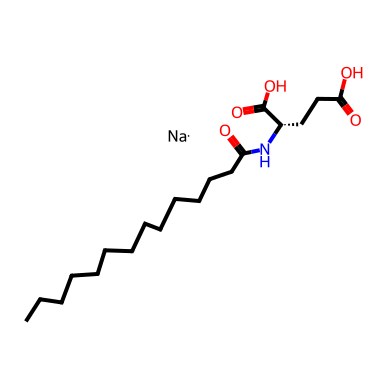 CCCCCCCCCCCCCC(=O)N[C@@H](CCC(=O)O)C(=O)O.[Na]